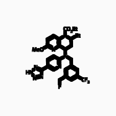 CCOC(=O)N1c2ccc(OC)nc2C(N(Cc2cc(CF)cc(C(F)(F)F)c2)c2ccc(-c3nn[nH]n3)cn2)CC1CC